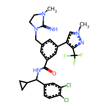 CN1CCN(Cc2cc(C(=O)NC(c3ccc(Cl)c(Cl)c3)C3CC3)cc(-c3cn(C)nc3C(F)(F)F)c2)C1=N